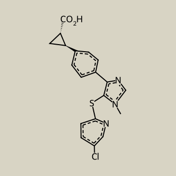 Cn1cnc(-c2ccc([C@H]3C[C@@H]3C(=O)O)cc2)c1Sc1ccc(Cl)cn1